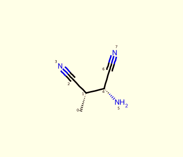 C[C@H](C#N)[C@@H](N)C#N